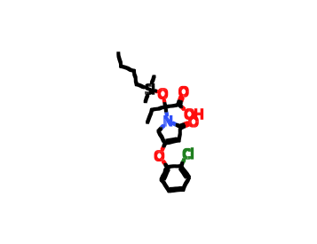 CCCC[Si](C)(C)OC(CC)(C(=O)O)N1CC(Oc2ccccc2Cl)=CC1=O